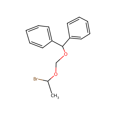 CC(Br)OCOC(c1ccccc1)c1ccccc1